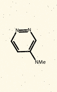 CNc1ccnnc1